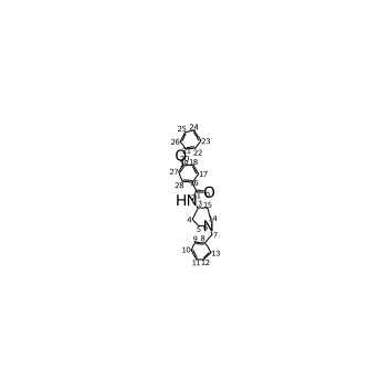 O=C(NC1CCN(Cc2ccccc2)CC1)c1ccc(Oc2ccccc2)cc1